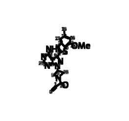 C#CC(=O)N1CC(n2nc(-c3cc4cc(C)cc(OC)c4s3)c3c(N)ncnc32)C1